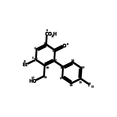 CCn1cc(C(=O)O)c(=O)c(-c2ccc(F)cc2)c1CO